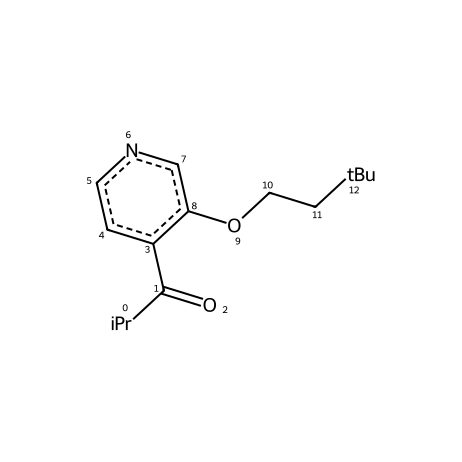 CC(C)C(=O)c1ccncc1OCCC(C)(C)C